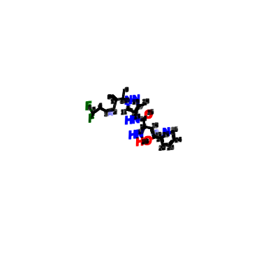 C=C(/C=C\CC(F)F)C(C)n1cc(NC(=O)C(=N)/C=C(\O)c2ccccn2)c(C)n1